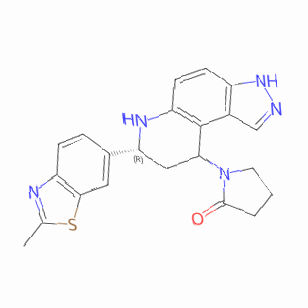 Cc1nc2ccc([C@H]3CC(N4CCCC4=O)c4c(ccc5[nH]ncc45)N3)cc2s1